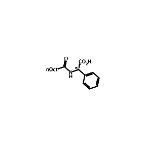 CCCCCCCCC(=O)N[C@@H](C(=O)O)c1ccccc1